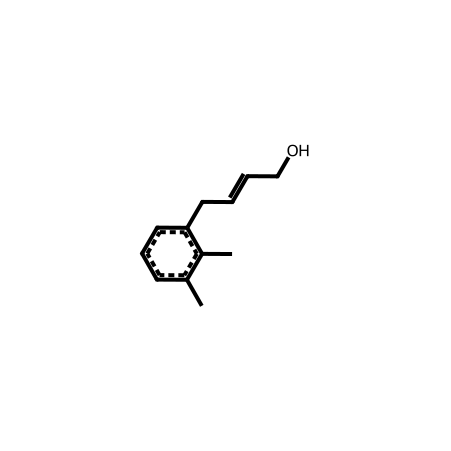 Cc1cccc(CC=CCO)c1C